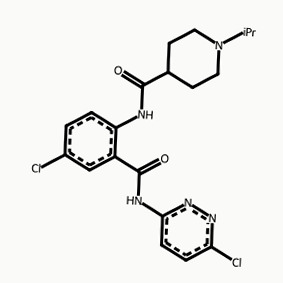 CC(C)N1CCC(C(=O)Nc2ccc(Cl)cc2C(=O)Nc2ccc(Cl)nn2)CC1